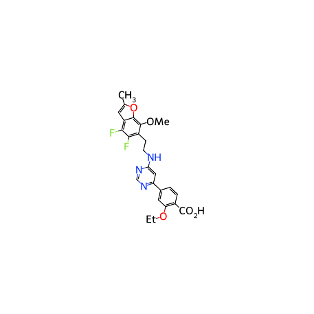 CCOc1cc(-c2cc(NCCc3c(F)c(F)c4cc(C)oc4c3OC)ncn2)ccc1C(=O)O